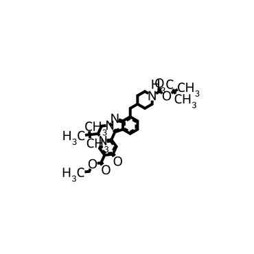 CCOC(=O)c1cn2c(cc1=O)-c1c3cccc(CC4CCN(C(=O)OC(C)(C)C)CC4)c3nn1CC2C(C)(C)C